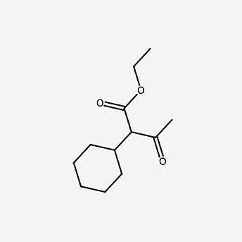 CCOC(=O)C(C(C)=O)C1CCCCC1